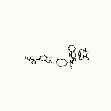 CC(=O)c1cccc(CNC[C@H]2CC[C@@H](Nc3nc(N(C)C)c4ccccc4n3)CC2)c1